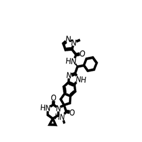 CNC(=O)C1(N2CC3(CC3)CNC2=O)Cc2cc3nc([C@@H](NC(=O)c4ccnn4C)C4CCCCC4)[nH]c3cc2C1